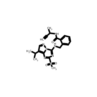 C#CC(C)NC(=O)c1ccccc1CNc1nc(S(C)(=O)=O)nc2c(C(C)C)cnn12